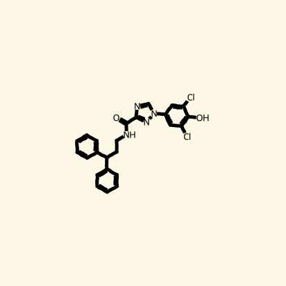 O=C(NCCC(c1ccccc1)c1ccccc1)c1ncn(-c2cc(Cl)c(O)c(Cl)c2)n1